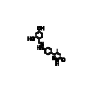 Cc1cc(=O)[nH]nc1-c1ccc(NN=Cc2ccc(O)cc2O)cc1